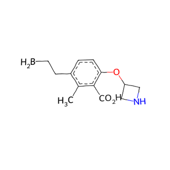 BCCc1ccc(OC2CNC2)c(C(=O)O)c1C